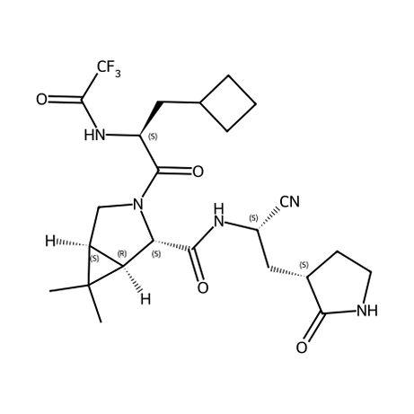 CC1(C)[C@@H]2[C@@H](C(=O)N[C@H](C#N)C[C@@H]3CCNC3=O)N(C(=O)[C@H](CC3CCC3)NC(=O)C(F)(F)F)C[C@@H]21